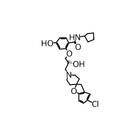 O=C(NC1CCCC1)c1ccc(O)cc1OC[C@H](O)CN1CCC2(CC1)Cc1cc(Cl)ccc1O2